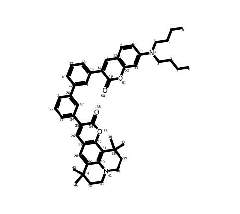 CCCCN(CCCC)c1ccc2cc(-c3cccc(-c4cccc(-c5cc6cc7c8c(c6oc5=O)C(C)(C)CCN8CCC7(C)C)c4)c3)c(=O)oc2c1